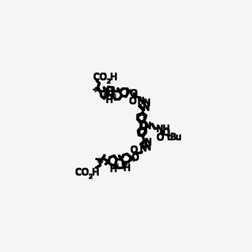 CC([C@H](C)CCC(=O)O)C1(C)CCC2[C@@H](CC[C@@H]3C[C@H](OC(=O)Cn4cc(-c5ccc6c7ccc(-c8cn(CC(=O)O[C@@H]9CCC%10(C)C(CC[C@@H]%11C%10CCC%10(C)C([C@H](C)CCC(=O)O)CC[C@@H]%11%10)C9)nn8)cc7n(CCNC(=O)OC(C)(C)C)c6c5)nn4)CCC23C)C1